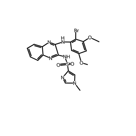 COc1cc(Nc2nc3ccccc3nc2NS(=O)(=O)c2cn(C)cn2)c(Br)c(OC)c1